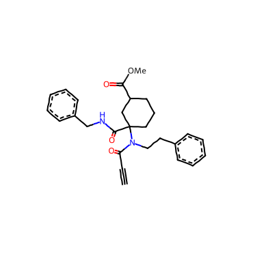 C#CC(=O)N(CCc1ccccc1)C1(C(=O)NCc2ccccc2)CCCC(C(=O)OC)C1